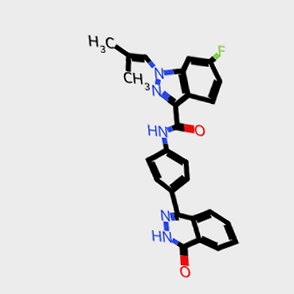 CC(C)=Cn1nc(C(=O)Nc2ccc(-c3n[nH]c(=O)c4ccccc34)cc2)c2ccc(F)cc21